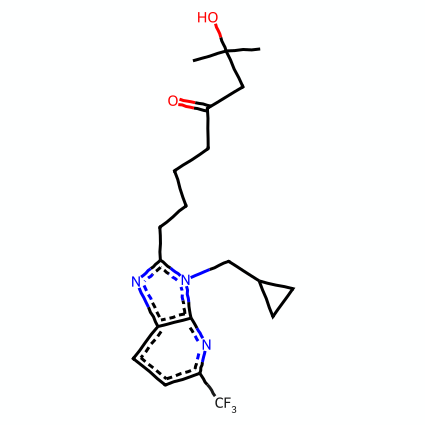 CC(C)(O)CC(=O)CCCCc1nc2ccc(C(F)(F)F)nc2n1CC1CC1